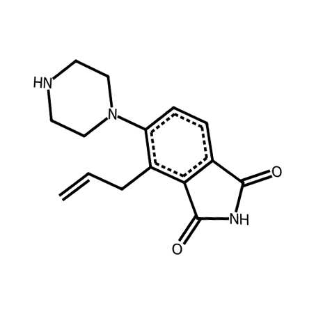 C=CCc1c(N2CCNCC2)ccc2c1C(=O)NC2=O